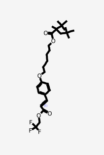 CC(C)(C)CC(C)(C(=O)OCCCCCCOc1ccc(/C=C/C(=O)OCC(F)(F)F)cc1)C(C)(C)C